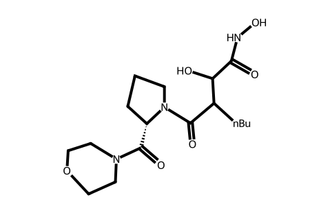 CCCCC(C(=O)N1CCC[C@H]1C(=O)N1CCOCC1)C(O)C(=O)NO